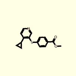 COC(=O)c1ccc(Sc2cnccc2C2CC2)cc1